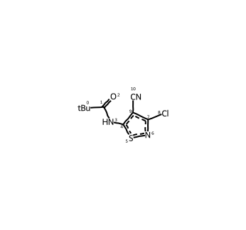 CC(C)(C)C(=O)Nc1snc(Cl)c1C#N